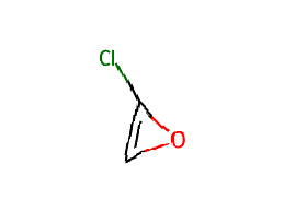 ClC1=CO1